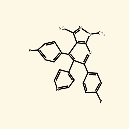 Cn1nc(C#N)c2c(-c3ccc(F)cc3)c(-c3ccncc3)c(-c3ccc(F)cc3)nc21